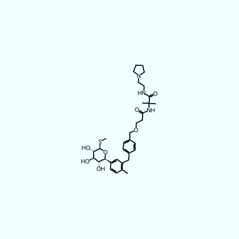 CS[C@H]1O[C@@H](c2ccc(C)c(Cc3ccc(COCCC(=O)NC(C)(C)C(=O)NCCN4CCCC4)cc3)c2)[C@H](O)[C@@H](O)[C@@H]1O